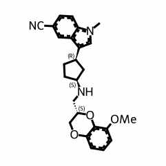 COc1cccc2c1O[C@@H](CN[C@H]1CC[C@@H](c3cn(C)c4ccc(C#N)cc34)C1)CO2